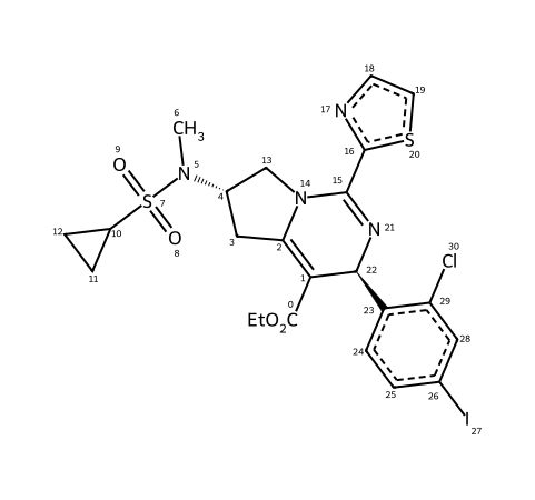 CCOC(=O)C1=C2C[C@H](N(C)S(=O)(=O)C3CC3)CN2C(c2nccs2)=N[C@H]1c1ccc(I)cc1Cl